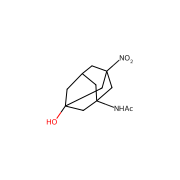 CC(=O)NC12CC3CC(O)(C1)CC([N+](=O)[O-])(C3)C2